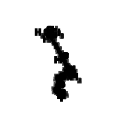 CC(C)(C)OC(=O)NCCCCCCCCC(=O)NCCCn1cc(-c2ccc3c(c2)CCN3C(=O)Cc2cccc(OC(F)(F)F)c2)c2c(N)ncnc21